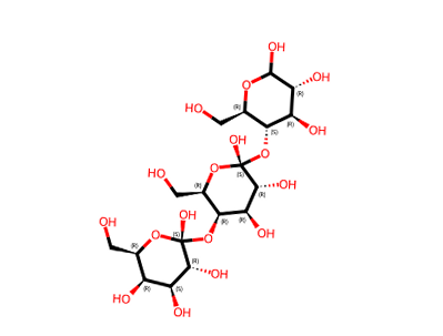 OC[C@H]1O[C@](O)(O[C@@H]2[C@H](O)[C@@H](O)[C@@](O)(O[C@H]3[C@H](O)[C@@H](O)C(O)O[C@@H]3CO)O[C@@H]2CO)[C@H](O)[C@@H](O)[C@H]1O